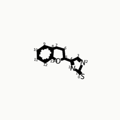 S=C1N=CC(C2CCc3ccccc3O2)=N1